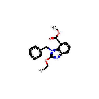 CCOc1nc2cccc(C(=O)OC)c2n1Cc1cc[c]cc1